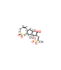 CCOS(=O)(=O)C(C#N)=Cc1cc2cc3c(cc2oc1=O)C#CCCS(=O)(=O)C3